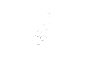 COCc1nn2c(C(=O)N[C@H]3COc4c(Cl)cccc43)ccnc2c1C(N)=O